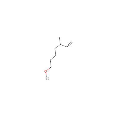 [CH2]COCCCCC(C)C=C